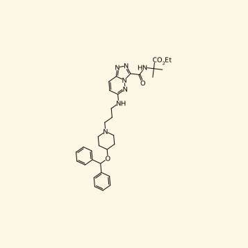 CCOC(=O)C(C)(C)NC(=O)c1nnc2ccc(NCCCN3CCC(OC(c4ccccc4)c4ccccc4)CC3)nn12